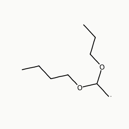 [CH2]C(OCCC)OCCCC